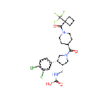 O=C(O)NC[C@H]1CN(C(=O)C2CCN(C(=O)C3(C(F)(F)F)CCC3)CC2)C[C@H]1c1ccc(Cl)c(Cl)c1